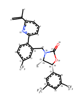 C=C(C)c1cccc(-c2ccc(C(F)(F)F)cc2CN2C(=O)O[C@H](c3cc(C(F)(F)F)cc(C(F)(F)F)c3)[C@@H]2C)n1